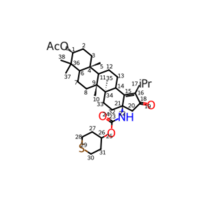 CC(=O)O[C@H]1CC[C@@]2(C)C(CC[C@]3(C)C2CCC2C4=C(C(C)C)C(=O)C[C@]4(NC(=O)OC4CCSCC4)CC[C@]23C)C1(C)C